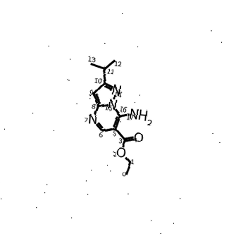 CCOC(=O)c1cnc2cc(C(C)C)nn2c1N